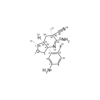 C[C@H]1OC[C@]2(c3cc(N)ccc3F)N=C(N)[C@](C)(C#N)C[C@H]12